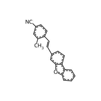 Cc1cc(C#N)ccc1C=Cc1ccc2c(c1)oc1ccccc12